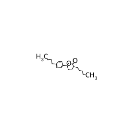 CCCCCC1CCC(c2ccc(CCCC)cc2)OC1=O